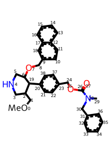 COCC1CNCC(OCc2ccc3ccccc3c2)C1c1ccc(COC(=O)N(C)Cc2ccccc2)cc1